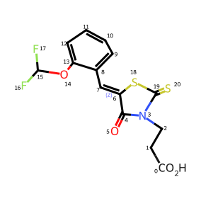 O=C(O)CCN1C(=O)/C(=C/c2ccccc2OC(F)F)SC1=S